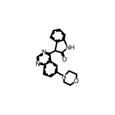 O=C1Nc2ccccc2C1c1ncnc2ccc(N3CCOCC3)cc12